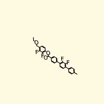 CCOCc1ccc(OC(=O)c2ccc(-c3ccc(-c4ccc(C)cc4)c(F)c3F)cc2)c(F)c1F